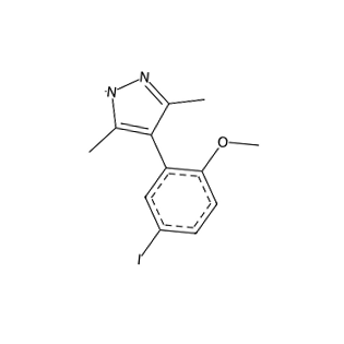 COc1ccc(I)cc1C1=C(C)[N]N=C1C